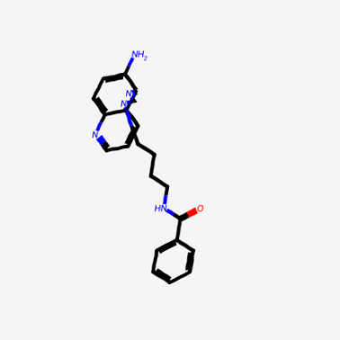 NC1=CC=C2N=CC=CC23C1=NCN3CCCCNC(=O)c1ccccc1